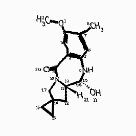 COc1cc2c(cc1C)N[C@H](O)[C@@H]1CC3(CC3)CN1C2=O